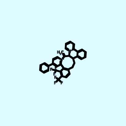 C=C1C2C(CCc3ccc(C(F)(F)F)c(C(F)(F)F)c3-c3cc(-c4ccccc4)cc[n+]31)c1ccccc1-c1cccc[n+]12